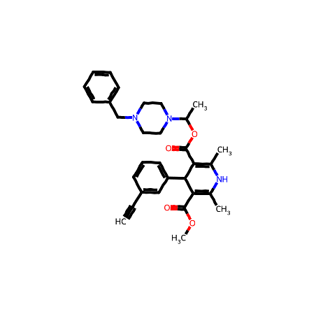 C#Cc1cccc(C2C(C(=O)OC)=C(C)NC(C)=C2C(=O)OC(C)N2CCN(Cc3ccccc3)CC2)c1